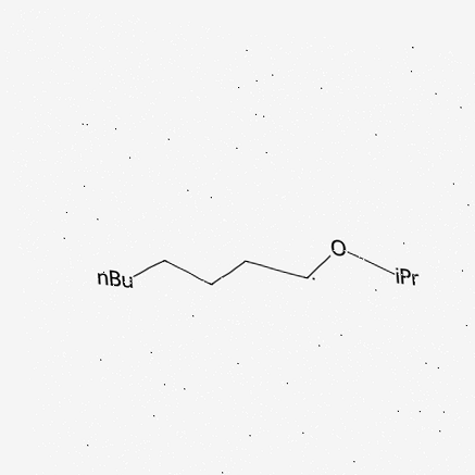 CCCCCCC[CH]OC(C)C